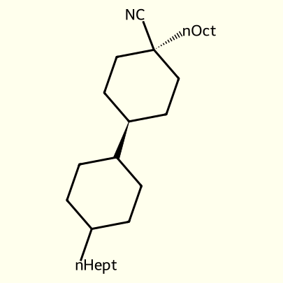 CCCCCCCC[C@]1(C#N)CC[C@@H](C2CCC(CCCCCCC)CC2)CC1